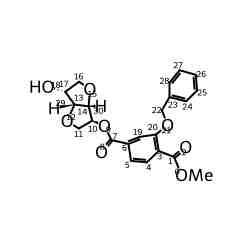 COC(=O)c1ccc(C(=O)O[C@H]2CO[C@H]3[C@@H]2OC[C@H]3O)cc1OCc1ccccc1